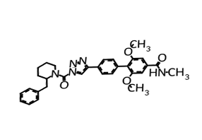 CNC(=O)c1cc(OC)c(-c2ccc(-c3cn(C(=O)N4CCCCC4Cc4ccccc4)nn3)cc2)c(OC)c1